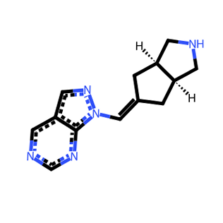 C(=C1C[C@H]2CNC[C@H]2C1)n1ncc2cncnc21